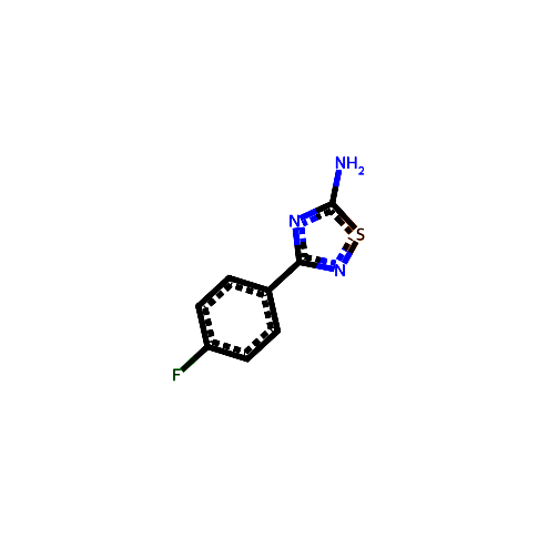 Nc1nc(-c2ccc(F)cc2)ns1